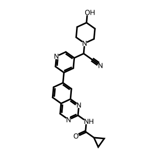 N#CC(c1cncc(-c2ccc3cnc(NC(=O)C4CC4)nc3c2)c1)N1CCC(O)CC1